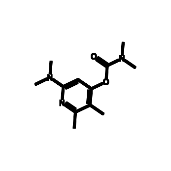 Cc1nc(N(C)C)cc(OC(=O)N(C)C)c1C